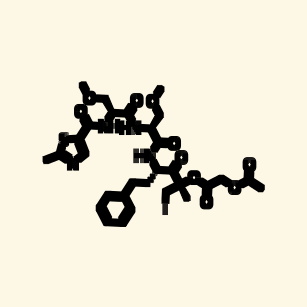 COC[C@H](NC(=O)c1cnc(C)s1)C(=O)N[C@@H](COC)C(=O)N[C@@H](CCc1ccccc1)C(=O)[C@@](C)(CI)OC(=O)COC(C)=O